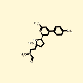 Cc1ccc(-c2cc(C)nc([C@H]3CC[C@@](O)(CCN(C)C=O)N3)c2)cc1